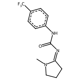 CN1CCCC1=NC(=O)Nc1ccc(C(F)(F)F)cc1